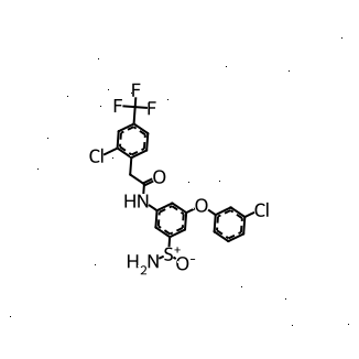 N[S+]([O-])c1cc(NC(=O)Cc2ccc(C(F)(F)F)cc2Cl)cc(Oc2cccc(Cl)c2)c1